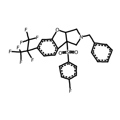 O=S(=O)(c1ccc(F)cc1)C12CN(Cc3ccccc3)CC1Oc1cc(C(F)(C(F)(F)F)C(F)(F)F)ccc12